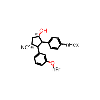 CCCCCCc1ccc(C2C(c3cccc(OCCC)c3)[C@H](C#N)C[C@H]2O)cc1